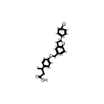 CC(CC(=O)O)c1ccc(OCc2ccc3c(c2)C[C@@H](c2ccc(Cl)cc2)O3)cc1